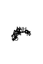 C=C(OCCCC)c1cnc(N)c2c(C#Cc3ccc4csnc4c3)nn(C3CCN(C(=O)OC(C)(C)C)C3)c12